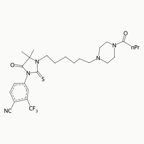 CCCC(=O)N1CCN(CCCCCCN2C(=S)N(c3ccc(C#N)c(C(F)(F)F)c3)C(=O)C2(C)C)CC1